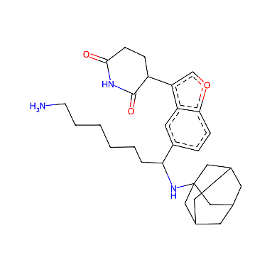 NCCCCCCC(NC12CC3CC(CC(C3)C1)C2)c1ccc2occ(C3CCC(=O)NC3=O)c2c1